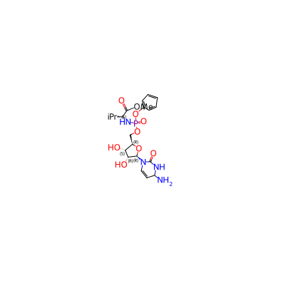 COC(=O)[C@@H](NP(=O)(OC[C@H]1O[C@@H](N2C=CC(N)NC2=O)[C@H](O)[C@@H]1O)Oc1ccccc1)C(C)C